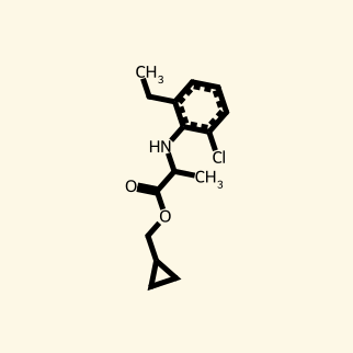 CCc1cccc(Cl)c1NC(C)C(=O)OCC1CC1